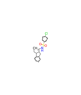 CCC1c2cc[c]cc2CC1CNS(=O)(=O)c1ccc(Cl)cc1